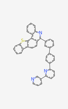 c1cncc(-c2cccc(-c3ccc(-c4cccc(-c5nc6ccccc6c6c5ccc5c7ccccc7sc56)c4)cc3)n2)c1